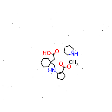 C1CCNCC1.COC(=O)C1=C(NCC2(CC(=O)O)CCCCC2)CCC1